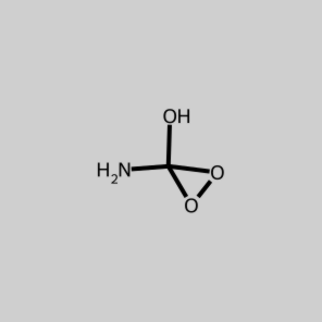 NC1(O)OO1